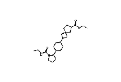 CCNC(=O)N1CCCC1C1CCN(C2CC3(CCN(C(=O)OCC)C3)C2)CC1